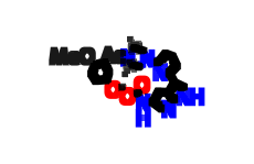 COc1ccc(OCOC(=O)Nc2cnc3[nH]cc(-c4cccc(N5C[C@@H](C)N(C(C)=O)[C@@H](C)C5)n4)c3c2)cc1